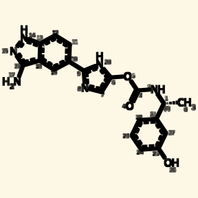 C[C@@H](NC(=O)Oc1cnc(-c2ccc3[nH]nc(N)c3c2)[nH]1)c1cccc(O)c1